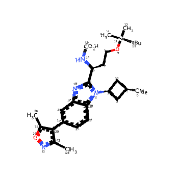 CO[C@H]1C[C@@H](n2c([C@H](CCO[Si](C)(C)C(C)(C)C)NC(=O)O)nc3cc(-c4c(C)noc4C)ccc32)C1